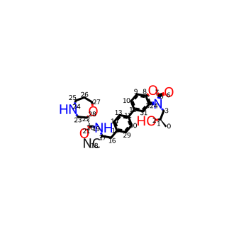 C[C@@H](O)Cn1c(=O)oc2ccc(-c3ccc(C[C@@H](C#N)NC(=O)[C@@H]4CNCCCO4)cc3)cc21